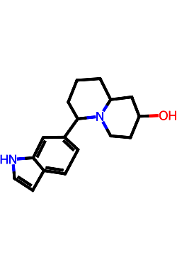 OC1CCN2C(CCCC2c2ccc3cc[nH]c3c2)C1